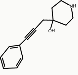 OC1(CC#Cc2ccccc2)CCNCC1